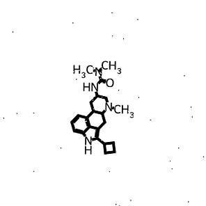 CN(C)C(=O)NC1CC2c3cccc4[nH]c(C5CCC5)c(c34)CC2N(C)C1